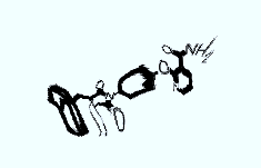 NC(=O)c1cccnc1O[C@H]1CC[C@H](N2C(=O)NC(CC34CC5CC(CC(C5)C3)C4)C2=O)CC1